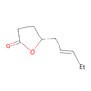 CCC=CCC1CCC(=O)O1